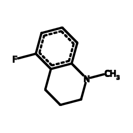 CN1CCCc2c(F)cccc21